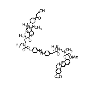 C#CCC(=O)N1CC[C@@H](C)[C@@H](N(C)c2ncnc3c2ccn3C(=O)N(C)CCN(C)C(=O)OCc2ccc(/N=N/c3ccc(COC(=O)N(C)CCN(C)C(=O)Oc4c(OC)ccc5cc6[n+](cc45)CCc4cc5c(cc4-6)OCO5)cc3)cc2)C1